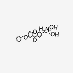 NC(CO)(CO)CCc1ccc2c(=O)c3cc(OCc4ccccc4)ccc3oc2c1